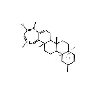 CC1=C(O)C=[PH](C)C=C2C1=CC=C1C2(C)CCC2(C)[C@@H]3CC(C)CC[C@]3(C)CCC12C